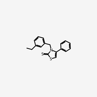 CCc1cccc(Cn2c(-c3ccccc3)csc2=S)c1